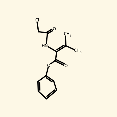 CC(C)=C(NC(=O)CCl)C(=O)Oc1ccccc1